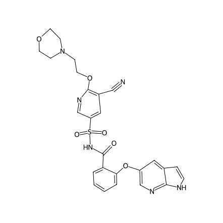 N#Cc1cc(S(=O)(=O)NC(=O)c2ccccc2Oc2cnc3[nH]ccc3c2)cnc1OCCN1CCOCC1